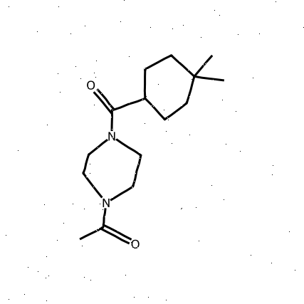 CC(=O)N1CCN(C(=O)C2CCC(C)(C)CC2)CC1